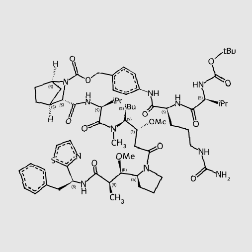 CC[C@H](C)[C@@H]([C@@H](CC(=O)N1CCC[C@H]1[C@H](OC)[C@@H](C)C(=O)N[C@@H](Cc1ccccc1)c1nccs1)OC)N(C)C(=O)[C@@H](NC(=O)[C@@H]1[C@H]2CC[C@H](C2)N1C(=O)OCc1ccc(NC(=O)[C@H](CCCNC(N)=O)NC(=O)[C@@H](NC(=O)OC(C)(C)C)C(C)C)cc1)C(C)C